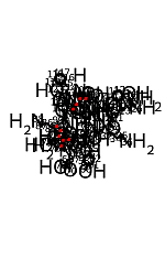 C[C@@H](O)[C@H](N)C(=O)N[C@@H](Cc1ccc(O)cc1)C(=O)N[C@@H](CCCNC(=N)N)C(=O)N[C@H](CCCCN)C(=O)N[C@@H](Cc1c[nH]c2ccccc12)C(=O)N[C@@H](Cc1ccc(O)cc1)C(=O)N[C@@H](CCC(=O)O)C(=O)N[C@@H](CC(=O)O)C(=O)N[C@H](CCCCN)C(=O)N[C@H](CCCNC(=N)N)C(=O)N[C@@H](Cc1c[nH]cn1)C(=O)N[C@@H](Cc1ccccc1)C(=O)O